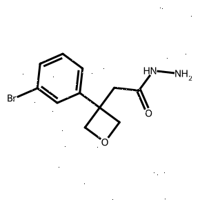 NNC(=O)CC1(c2cccc(Br)c2)COC1